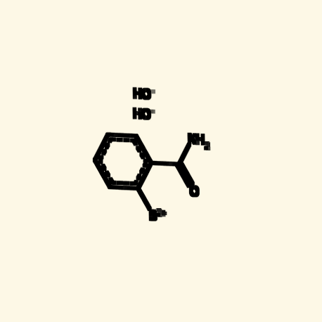 [B+2]c1ccccc1C(N)=O.[OH-].[OH-]